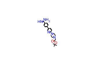 CC(C)(C)OC(=O)CN1CCN(c2ccc(-c3ccc(C(=N)N)cc3)cn2)CC1